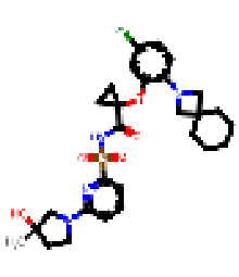 C[C@]1(O)CCN(c2cccc(S(=O)(=O)NC(=O)C3(Oc4cc(Cl)ccc4N4CC5(CCCCC5)C4)CC3)n2)C1